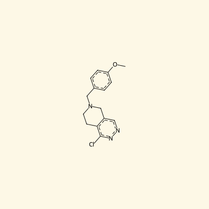 COc1ccc(CN2CCc3c(cnnc3Cl)C2)cc1